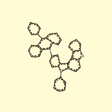 c1ccc(-c2c3ccccc3c(-c3ccc4c(c3)c3c5c(ccc3n4-c3ccccc3)oc3ccccc35)c3ccccc23)cc1